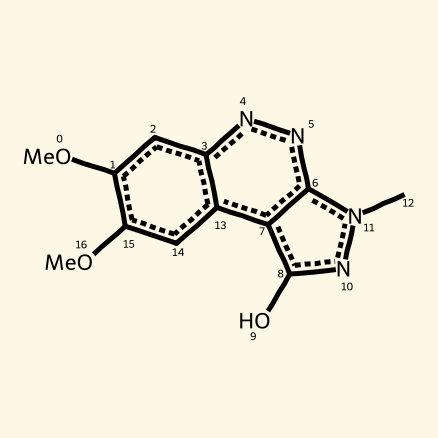 COc1cc2nnc3c(c(O)nn3C)c2cc1OC